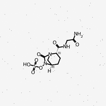 NC(=O)CNC(=O)[C@@H]1CC[C@@H]2CN1C(=O)N2OS(=O)(=O)O